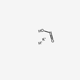 O=NO.[H+].[K+]